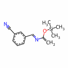 C=C(/N=C/c1cccc(C#N)c1)O[Si](C)(C)C